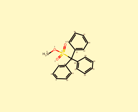 O=S(=O)(O[SiH3])C(c1ccccc1)(c1ccccc1)c1ccccc1